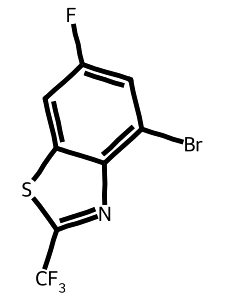 Fc1cc(Br)c2nc(C(F)(F)F)sc2c1